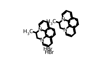 Br.Br.CC1CN2C=CC=c3ccc4c(c32)N1C=CC=4.CC1CN2C=CC=c3ccc4c(c32)N1C=CC=4